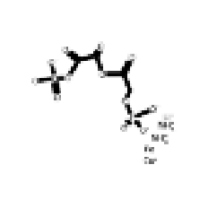 O=C(COP(=O)([O-])[O-])OC(=O)C(=O)OP(=O)([O-])[O-].[Cu+].[Fe].[Li+].[NH4+].[NH4+]